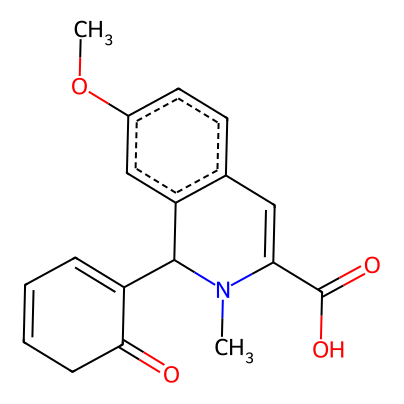 COc1ccc2c(c1)C(C1=CC=CCC1=O)N(C)C(C(=O)O)=C2